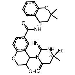 CC[C@@]1(C)CC(=O)N(C2c3cc(C(=O)N[C@H]4CC(C)(C)Oc5ccccc54)ccc3OCC2O)C(=N)N1